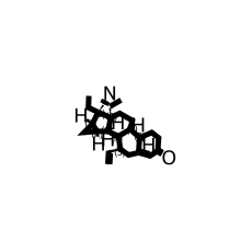 C=C[C@@H]1CC2=CC(=O)CC[C@@H]2[C@H]2CC[C@@]3(CC)[C@@H]([C@@H]4C[C@@H]4[C@@]3(C#N)CC)[C@@H]21